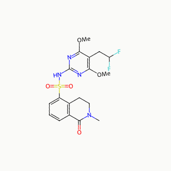 COc1nc(NS(=O)(=O)c2cccc3c2CCN(C)C3=O)nc(OC)c1CC(F)F